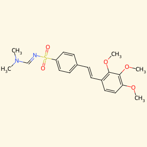 COc1ccc(C=Cc2ccc(S(=O)(=O)N=CN(C)C)cc2)c(OC)c1OC